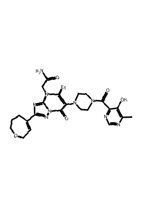 CCc1c(N2CCN(C(=O)c3ncnc(C)c3O)CC2)c(=O)n2nc(C3=CCOCCC3)nc2n1CC(N)=O